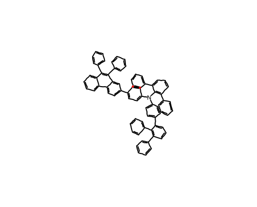 c1ccc(-c2cccc(-c3ccc(N(c4ccc(-c5ccc6c(c5)c(-c5ccccc5)c(-c5ccccc5)c5ccccc56)cc4)c4c(-c5ccccc5)cccc4-c4ccccc4)cc3)c2-c2ccccc2)cc1